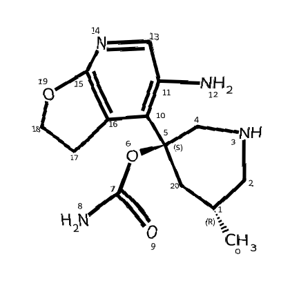 C[C@H]1CNC[C@@](OC(N)=O)(c2c(N)cnc3c2CCO3)C1